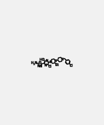 CC[C@H]1CN(c2nc(O)c(-c3nnc(N)o3)nc2Cl)CCN1C1CCN(Cc2ccc(Cl)cc2)CC1